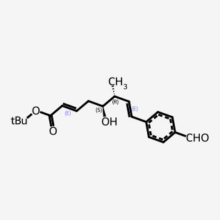 C[C@H](/C=C/c1ccc(C=O)cc1)[C@@H](O)C/C=C/C(=O)OC(C)(C)C